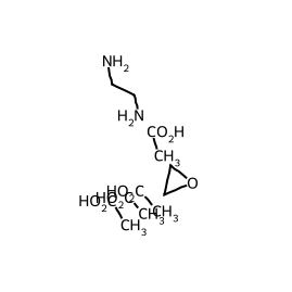 C1CO1.CC(=O)O.CC(=O)O.CC(=O)O.CC(=O)O.NCCN